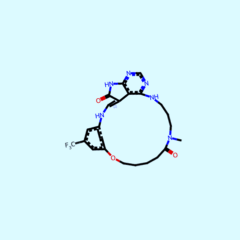 CN1CCCNc2ncnc3c2/C(=C/Nc2cc(cc(C(F)(F)F)c2)OCCCCC1=O)C(=O)N3